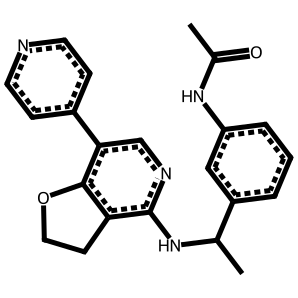 CC(=O)Nc1cccc(C(C)Nc2ncc(-c3ccncc3)c3c2CCO3)c1